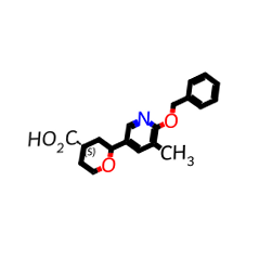 Cc1cc(C2C[C@@H](C(=O)O)CCO2)cnc1OCc1ccccc1